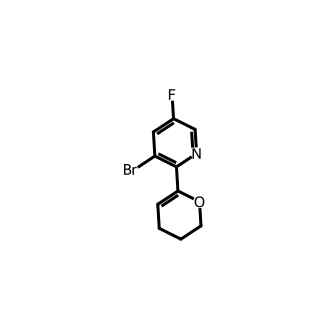 Fc1cnc(C2=CCCCO2)c(Br)c1